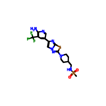 CS(=O)(=O)NCC1CCN(c2nn3cc(-c4cnc(N)c(C(F)(F)F)c4)nc3s2)CC1